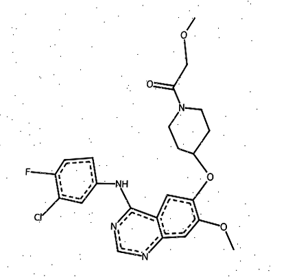 COCC(=O)N1CCC(Oc2cc3c(Nc4ccc(F)c(Cl)c4)ncnc3cc2OC)CC1